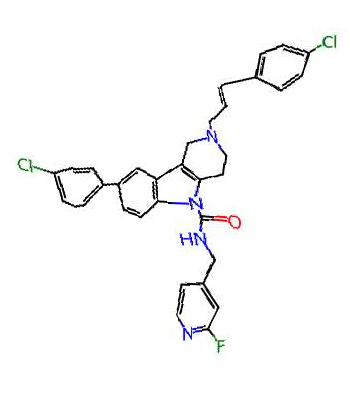 O=C(NCc1ccnc(F)c1)n1c2c(c3cc(-c4ccc(Cl)cc4)ccc31)CN(C/C=C/c1ccc(Cl)cc1)CC2